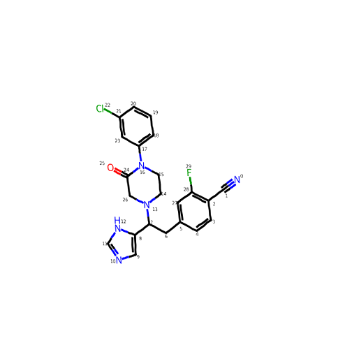 N#Cc1ccc(CC(c2cnc[nH]2)N2CCN(c3cccc(Cl)c3)C(=O)C2)cc1F